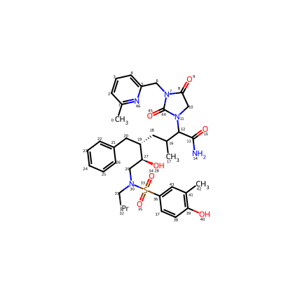 Cc1cccc(CN2C(=O)CN(C(C(N)=O)C(C)C[C@@H](Cc3ccccc3)[C@@H](O)CN(CC(C)C)S(=O)(=O)c3ccc(O)c(C)c3)C2=O)n1